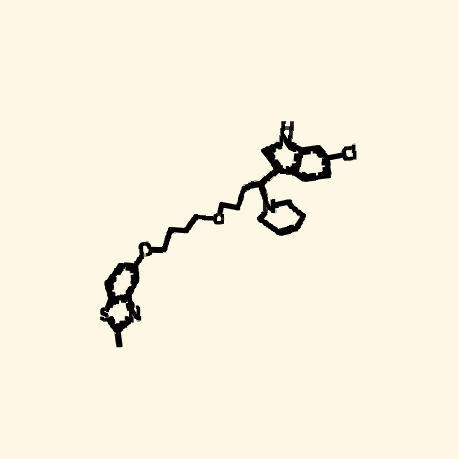 Cc1nc2cc(OCCCCOCCCC(c3c[nH]c4cc(Cl)ccc34)N3CC=CCC3)ccc2s1